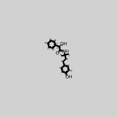 CC(C)(CCc1ccc(O)cc1)NC(=O)[C@H](O)c1ccccc1